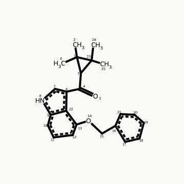 CC1(C)C(C(=O)c2c[nH]c3cccc(OCc4ccccc4)c23)C1(C)C